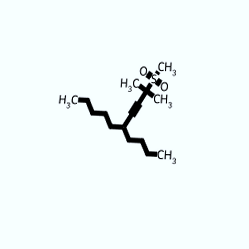 CCCCCC(C#CC(C)(C)S(C)(=O)=O)CCCC